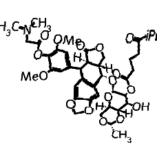 COc1cc(C2c3cc4c(cc3[C@@H](O[C@@H]3O[C@@H]5CO[C@@H](C)O[C@H]5[C@H](O)[C@H]3OC(=O)CCCC(=O)C(C)C)[C@H]3COC(=O)[C@H]23)OCO4)cc(OC)c1OC(=O)CN(C)C